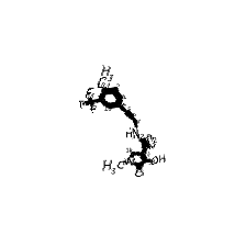 Cc1ccc(C#CCNC(=O)C2=C(O)C(=O)N(C)C2)cc1C(F)(F)F